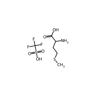 CSCCC(N)C(=O)O.O=S(=O)(O)C(F)(F)F